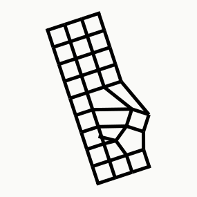 CC12C34C5CC3C3C6C7C8C9C%10CC%11C%12CC%13C%14C%15C%16C%17C%18C%19C%20CC5C%204C%191C%181C32C62C%171C%161C%153C%144C%12%13C%11%10C94C83C721